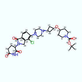 CC(C)(C)OC(=O)N1CCC(O[C@H]2C[C@H](N3CCN(c4ccc5c(c4Cl)CN(C4CCC(=O)NC4=O)C5=O)CC3)C2)CC1